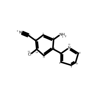 N#Cc1cc(N)c(-c2ccccn2)cc1Cl